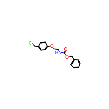 O=C(NCCOc1ccc(CCl)cc1)OCc1ccccc1